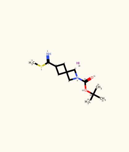 CSC(=N)C1CC2(C1)CN(C(=O)OC(C)(C)C)C2.I